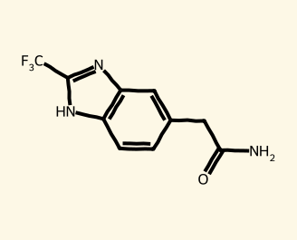 NC(=O)Cc1ccc2[nH]c(C(F)(F)F)nc2c1